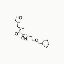 O=C(NCC1CCOC1)c1cc(CCOCc2ccccc2)no1